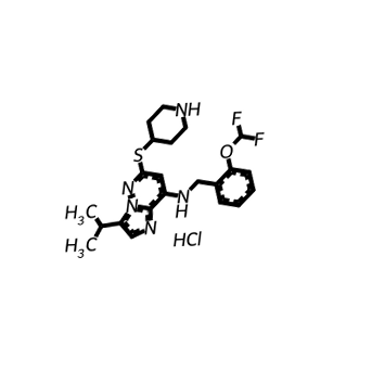 CC(C)c1cnc2c(NCc3ccccc3OC(F)F)cc(SC3CCNCC3)nn12.Cl